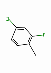 Cc1[c]cc(Cl)cc1F